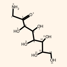 NCC(=O)C(O)C(O)C(O)C(O)C(O)CO